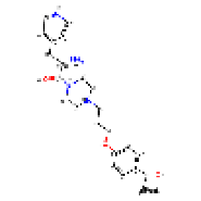 CCCCCC(=O)c1ccc(OCCCN2CCN(C(=O)[C@@H](N)Cc3ccncc3)CC2)cc1